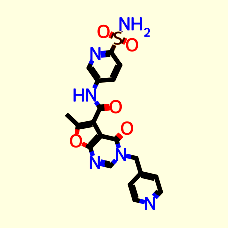 Cc1oc2ncn(Cc3ccncc3)c(=O)c2c1C(=O)Nc1ccc(S(N)(=O)=O)nc1